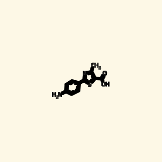 Cc1nc(-c2ccc(N)cc2)sc1C(=O)O